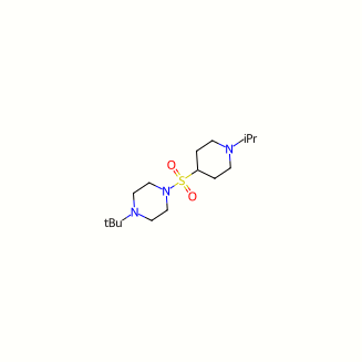 CC(C)N1CCC(S(=O)(=O)N2CCN(C(C)(C)C)CC2)CC1